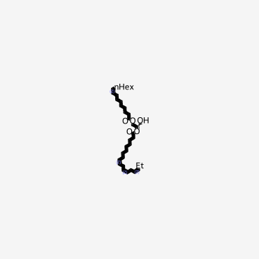 CC/C=C\C/C=C\C/C=C\CCCCCCCC(=O)O[C@@H](CO)COC(=O)CCCCCCC/C=C\CCCCCC